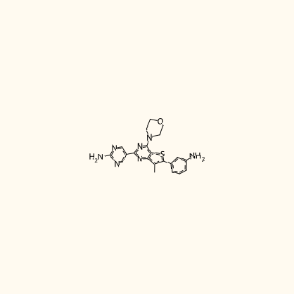 Cc1c(-c2cccc(N)c2)sc2c(N3CCOCC3)nc(-c3cnc(N)nc3)nc12